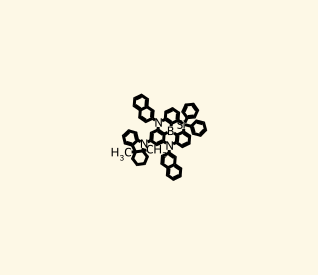 CC12CCCCC1(C)N(c1cc3c4c(c1)N(c1ccc5ccccc5c1)c1cccc5c1B4c1c(cccc1[Si]5(c1ccccc1)c1ccccc1)N3c1ccc3ccccc3c1)c1ccccc12